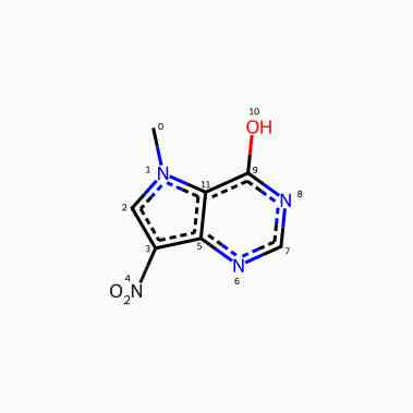 Cn1cc([N+](=O)[O-])c2ncnc(O)c21